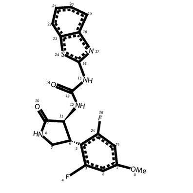 COc1cc(F)c([C@@H]2CNC(=O)[C@H]2NC(=O)Nc2nc3ccccc3s2)c(F)c1